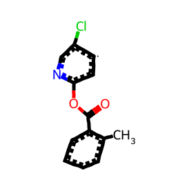 Cc1ccccc1C(=O)Oc1c[c]c(Cl)cn1